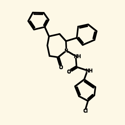 O=C(Nc1ccc(Cl)cc1)NN1C(=O)CCC(c2ccccc2)CC1c1ccccc1